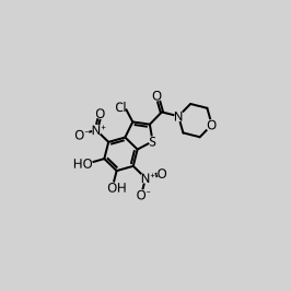 O=C(c1sc2c([N+](=O)[O-])c(O)c(O)c([N+](=O)[O-])c2c1Cl)N1CCOCC1